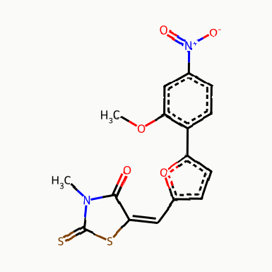 COc1cc([N+](=O)[O-])ccc1-c1ccc(C=C2SC(=S)N(C)C2=O)o1